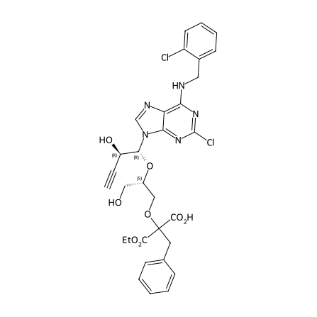 C#C[C@@H](O)[C@@H](O[C@@H](CO)COC(Cc1ccccc1)(C(=O)O)C(=O)OCC)n1cnc2c(NCc3ccccc3Cl)nc(Cl)nc21